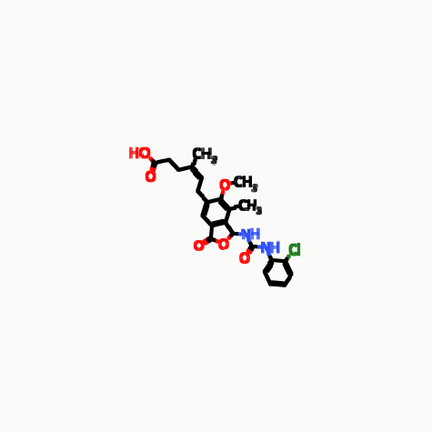 COc1c(CC=C(C)CCC(=O)O)cc2c(c1C)C(NC(=O)Nc1ccccc1Cl)OC2=O